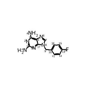 Nc1nc(N)c2ncn(Cc3ccc(F)cc3)c2n1